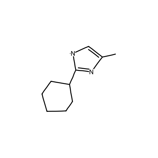 CC1=C[N]C(C2CCCCC2)=N1